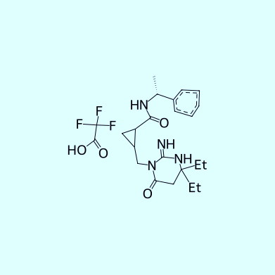 CCC1(CC)CC(=O)N(CC2CC2C(=O)N[C@H](C)c2ccccc2)C(=N)N1.O=C(O)C(F)(F)F